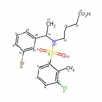 Cc1c(Cl)cccc1S(=O)(=O)N(CCCC(=O)O)C(C)c1cccc(Br)c1